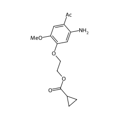 COc1cc(C(C)=O)c(N)cc1OCCOC(=O)C1CC1